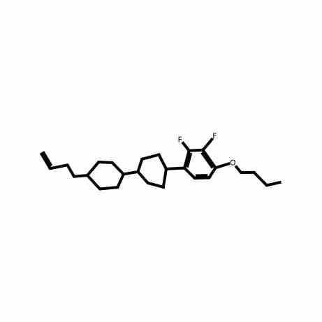 C=CCCC1CCC(C2CCC(c3ccc(OCCCC)c(F)c3F)CC2)CC1